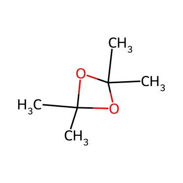 CC1(C)OC(C)(C)O1